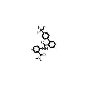 CN(C)C(=O)c1c[c]ccc1NC(=O)c1ccccc1-c1ccc(C(F)(F)F)cc1